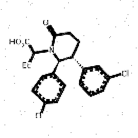 CCC(C(=O)O)N1C(=O)CC[C@H](c2cccc(Cl)c2)[C@H]1c1ccc(Cl)cc1